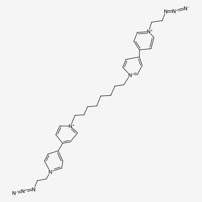 [N-]=[N+]=NCC[n+]1ccc(-c2cc[n+](CCCCCCCC[n+]3ccc(-c4cc[n+](CCN=[N+]=[N-])cc4)cc3)cc2)cc1